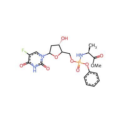 COC(=O)[C@H](C)NP(=O)(OCC1OC(n2cc(F)c(=O)[nH]c2=O)C[C@@H]1O)Oc1ccccc1